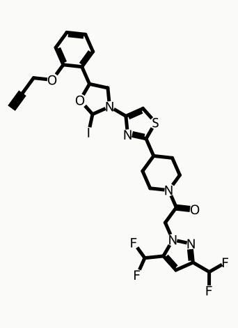 C#CCOc1ccccc1C1CN(c2csc(C3CCN(C(=O)Cn4nc(C(F)F)cc4C(F)F)CC3)n2)C(I)O1